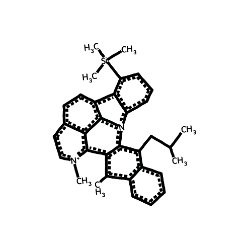 Cc1c2ccccc2c(CC(C)C)c2c1c1c3c(ccc4c5c([Si](C)(C)C)cccc5n2c43)cc[n+]1C